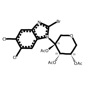 CC(=O)O[C@H]1COC[C@@](OC(C)=O)(n2c(Br)nc3cc(Cl)c(Cl)cc32)[C@H]1OC(C)=O